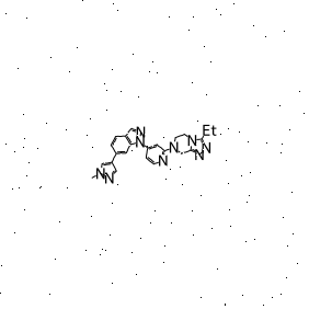 CCc1nnc2n1CCN(c1cc(-n3ncc4ccc(-c5cnn(C)c5)cc43)ccn1)C2